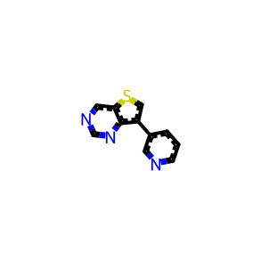 c1cncc(-c2csc3cncnc23)c1